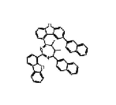 CC1C(c2cccc3oc4ccc(-c5ccc6ccccc6c5)cc4c23)=NC(c2cccc3c2oc2ccccc23)=NC(c2ccc3ccccc3c2)C1C